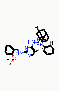 N#Cc1cnc(NCc2ccccc2OC(F)(F)F)nc1NC[C@@]12CC3C[C@H](C1)[C@@H](Nc1ccccc1)[C@@H](C3)C2